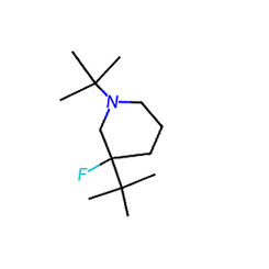 CC(C)(C)N1CCCC(F)(C(C)(C)C)C1